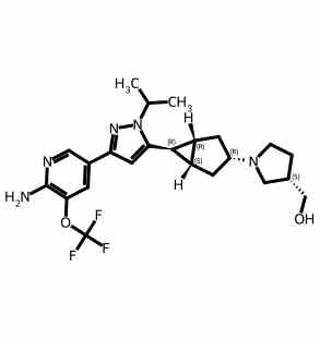 CC(C)n1nc(-c2cnc(N)c(OC(F)(F)F)c2)cc1[C@H]1[C@@H]2C[C@H](N3CC[C@H](CO)C3)C[C@@H]21